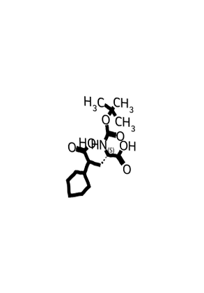 CC(C)(C)OC(=O)N[C@@H](CC(C(=O)O)C1CCCCC1)C(=O)O